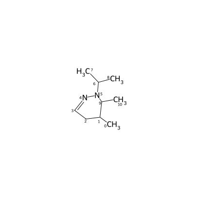 CC1CC=NN(C(C)C)C1C